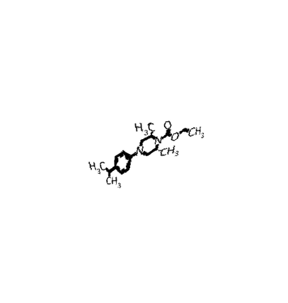 CCOC(=O)N1[C@H](C)CN(c2ccc(C(C)C)cc2)C[C@H]1C